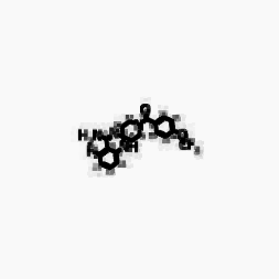 NC1=NC2(CCN(C(=O)c3ccc(OC(F)(F)F)cc3)CC2)Nc2cccc(F)c21